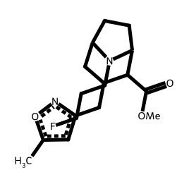 COC(=O)C1C(Cc2cc(C)on2)CC2CCC1N2CCCF